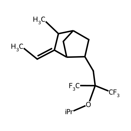 CC=C1C(C)C2CC(CC(OC(C)C)(C(F)(F)F)C(F)(F)F)C1C2